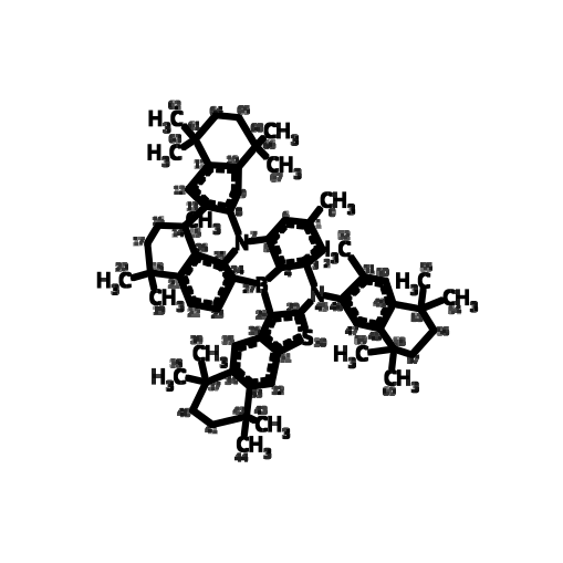 Cc1cc2c3c(c1)N1c4cc5c(cc4C4(C)CCC(C)(C)c6ccc(c1c64)B3c1c(sc3cc4c(cc13)C(C)(C)CCC4(C)C)N2c1cc2c(cc1C)C(C)(C)CCC2(C)C)C(C)(C)CCC5(C)C